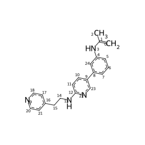 C=C(C)Nc1cccc(-c2ccc(NCCc3ccncc3)nc2)c1